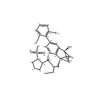 CCN(C[C@@]12CC[C@@H](c3cc(-c4c(F)cccc4F)nnc31)C2(C)C)C(=O)C1CCCN1S(C)(=O)=O